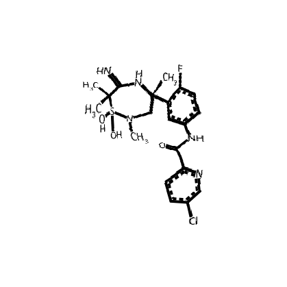 CN1C[C@@](C)(c2cc(NC(=O)c3ccc(Cl)cn3)ccc2F)NC(=N)C(C)(C)S1(O)O